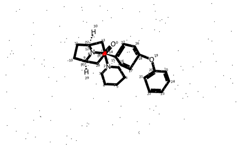 O=C(N1CCCCC1)N1[C@@H]2CC[C@H]1C[C@@H](c1ccc(Oc3ccccc3)cc1)C2